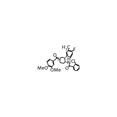 COc1ccc(C(=O)N2CC[C@H](NC(=O)c3ccccc3Cl)[C@H](c3ccc(F)c(C)c3)C2)cc1OC